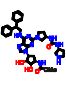 COC(=O)N[C@H]1C[C@@H](n2cnc3c(NCC(c4ccccc4)c4ccccc4)nc(N4CC[C@@H](NC(=O)N[C@@H]5CCNC5)C4)nc32)[C@H](O)[C@@H]1O